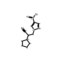 N#CC(Cn1cc([N+](=O)[O-])cn1)C1CCCC1